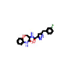 O=C(NC1COc2ccccc2NC1=O)c1cc(Cc2cccc(F)c2)[nH]n1